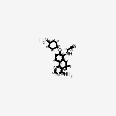 CC1(C)Cc2c(ccc(OC3CCC(N)CC3)c2NCC#N)-c2ncnc(N)c21